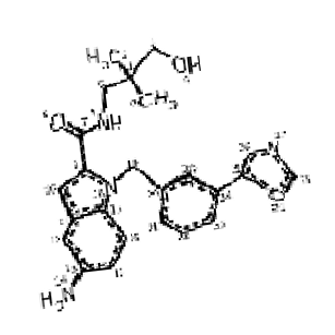 CC(C)(CO)CNC(=O)c1cc2cc(N)ccc2n1Cc1cccc(-c2cnco2)c1